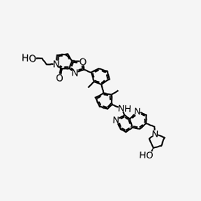 Cc1c(Nc2nccc3cc(CN4CC[C@@H](O)C4)cnc23)cccc1-c1cccc(-c2nc3c(=O)n(CCO)ccc3o2)c1C